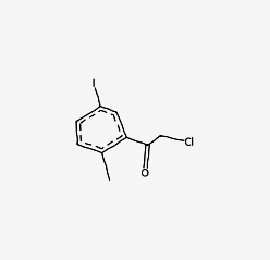 Cc1ccc(I)cc1C(=O)CCl